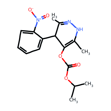 CC1=NNC(C)=C(OC(=O)OC(C)C)C1c1ccccc1[N+](=O)[O-]